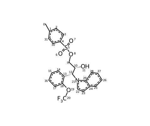 Cc1ccc(S(=O)(=O)OC[C@H](O)[C@@H](c2ccccc2OC(F)(F)F)n2ccc3ccccc32)cc1